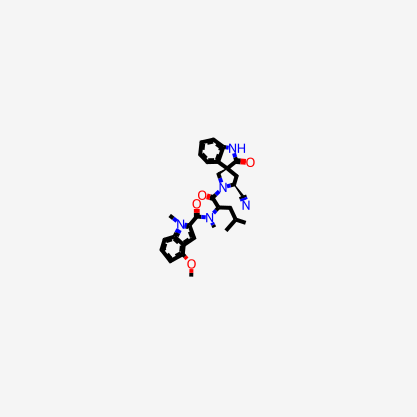 COc1cccc2c1cc(C(=O)N(C)C(CC(C)C)C(=O)N1C[C@]3(C[C@H]1C#N)C(=O)Nc1ccccc13)n2C